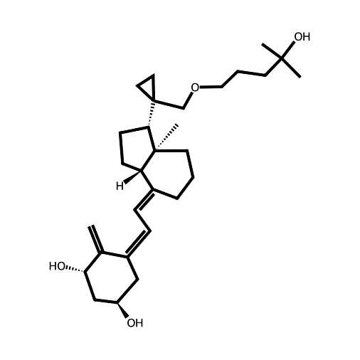 C=C1/C(=C\C=C2/CCC[C@]3(C)[C@@H](C4(COCCCC(C)(C)O)CC4)CC[C@@H]23)C[C@@H](O)C[C@@H]1O